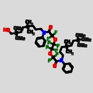 CO[Si](CO)(CC[Si](C)(C)CCCN(C(=O)C(F)(F)OC(F)(F)C(F)(F)OC(F)(F)C(=O)N(CCC[Si](C)(C)CC[Si](OC)(OC)OC)c1ccccc1)c1ccccc1)OC